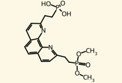 COP(=O)(CCc1ccc2ccc3ccc(CCP(=O)(O)O)nc3c2n1)OC